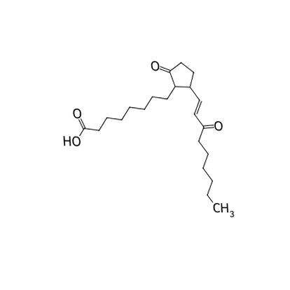 CCCCCCC(=O)/C=C/C1CCC(=O)C1CCCCCCCC(=O)O